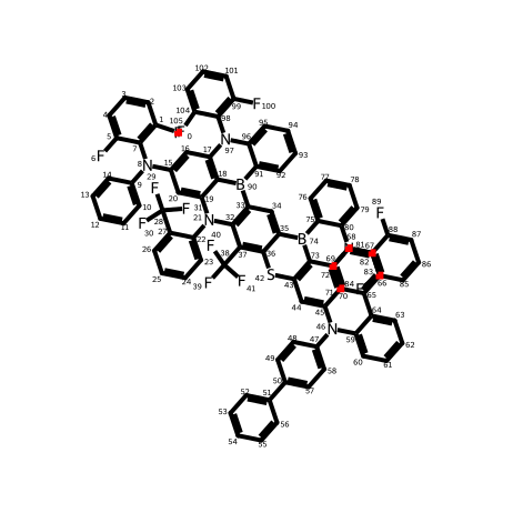 Fc1cccc(F)c1N(c1ccccc1)c1cc2c3c(c1)N(c1ccccc1C(F)(F)F)c1c(cc4c(c1C(F)(F)F)Sc1cc(N(c5ccc(-c6ccccc6)cc5)c5ccccc5-c5ccccc5)cc5c1B4c1ccccc1N5c1c(F)cccc1F)B3c1ccccc1N2c1c(F)cccc1F